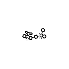 c1ccc(-c2nc(-c3ccc(-c4ccc5c(c4)C4(c6ccccc6O5)c5ccccc5-c5ccccc54)cc3)nc3ccccc23)cc1